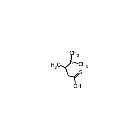 CC(CC(O)=S)N(C)C